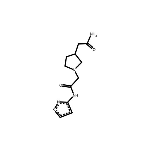 NC(=O)CC1CCN(CC(=O)Nc2ccsn2)C1